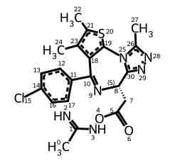 CC(=N)NOC(=O)C[C@@H]1N=C(c2ccc(Cl)cc2)c2c(sc(C)c2C)-n2c(C)nnc21